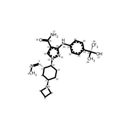 C/N=C\[C@H]1C[C@H](N2CCC2)CC[C@@H]1n1cc(C(N)=O)c(Nc2ccc([C@](C)(O)C(F)(F)F)cc2)n1